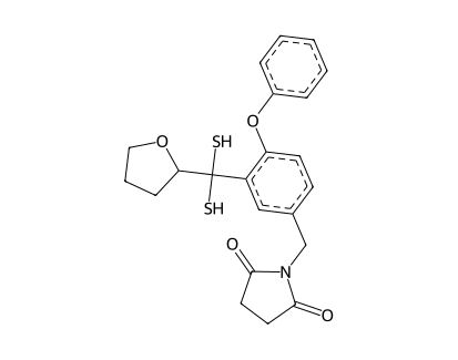 O=C1CCC(=O)N1Cc1ccc(Oc2ccccc2)c(C(S)(S)C2CCCO2)c1